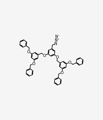 [N-]=[N+]=NCc1cc(OCc2cc(OCc3ccccc3)cc(OCc3ccccc3)c2)cc(OCc2cc(OCc3ccccc3)cc(OCc3ccccc3)c2)c1